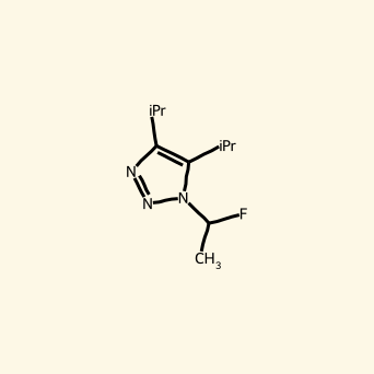 CC(C)c1nnn(C(C)F)c1C(C)C